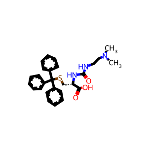 CN(C)CCNC(=O)N[C@@H](CSC(c1ccccc1)(c1ccccc1)c1ccccc1)C(=O)O